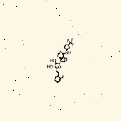 O[C@@H]1[C@H](O)[C@@H](C=Cc2ccccc2F)O[C@H]1n1cnc2c(NC3CCC(C(F)(F)F)C3)ncnc21